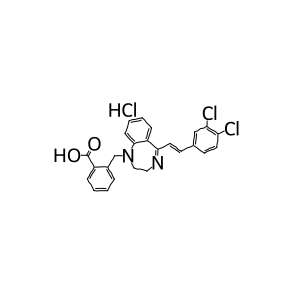 Cl.O=C(O)c1ccccc1CN1CCN=C(C=Cc2ccc(Cl)c(Cl)c2)c2ccccc21